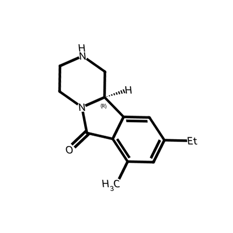 CCc1cc(C)c2c(c1)[C@@H]1CNCCN1C2=O